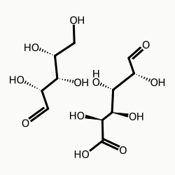 O=C[C@H](O)[C@@H](O)[C@@H](O)[C@H](O)C(=O)O.O=C[C@H](O)[C@@H](O)[C@H](O)CO